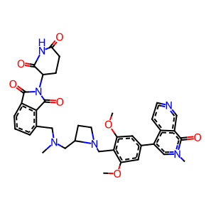 COc1cc(-c2cn(C)c(=O)c3cnccc23)cc(OC)c1CN1CCC1CN(C)Cc1cccc2c1C(=O)N(C1CCC(=O)NC1=O)C2=O